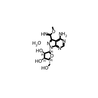 COC(=N)c1nn([C@@H]2O[C@H](CO)[C@@H](O)[C@H]2O)c2ncnc(N)c12.O